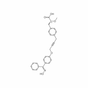 CO[C@@H](Cc1ccc(CC#CCOc2ccc(C(=NO)c3ccccc3)cc2)cc1)C(=O)O